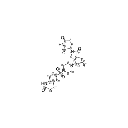 O=C1CCC(N2Cc3c(cc(F)cc3N3CCN(S(=O)(=O)c4ccc5c(c4)CCC(=O)N5)CC3)C2=O)C(=O)N1